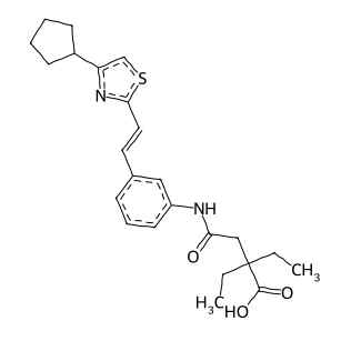 CCC(CC)(CC(=O)Nc1cccc(/C=C/c2nc(C3CCCC3)cs2)c1)C(=O)O